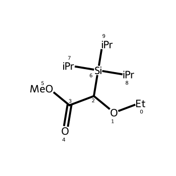 CCOC(C(=O)OC)[Si](C(C)C)(C(C)C)C(C)C